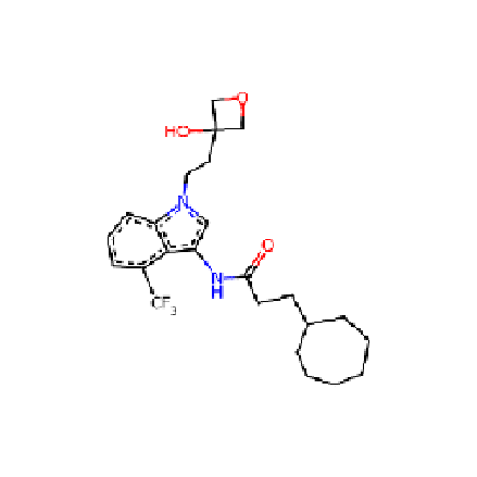 O=C(CCC1CCCCCC1)Nc1cn(CCC2(O)COC2)c2cccc(C(F)(F)F)c12